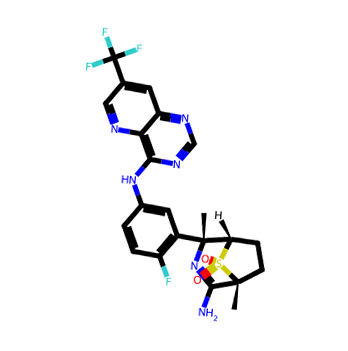 C[C@]1(c2cc(Nc3ncnc4cc(C(F)(F)F)cnc34)ccc2F)N=C(N)[C@@]2(C)CC[C@@H]1S2(=O)=O